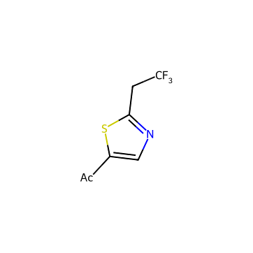 CC(=O)c1cnc(CC(F)(F)F)s1